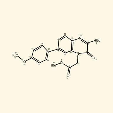 CC(C)(C)OC(=O)Cn1c(=O)c(C(C)(C)C)nc2ccc(-c3ccc(OC(F)(F)F)cc3)cc21